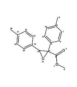 COC(=O)C1(c2ccc(C)cc2)OC1c1ccc(C)cc1